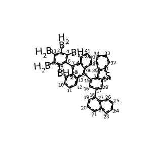 Bc1c(B)c(B)c(-c2c3ccccc3c(-c3cc(-c4cccc5ccccc45)cc4sc5ccccc5c34)c3ccccc23)c(B)c1B